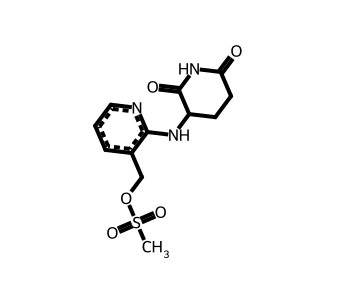 CS(=O)(=O)OCc1cccnc1NC1CCC(=O)NC1=O